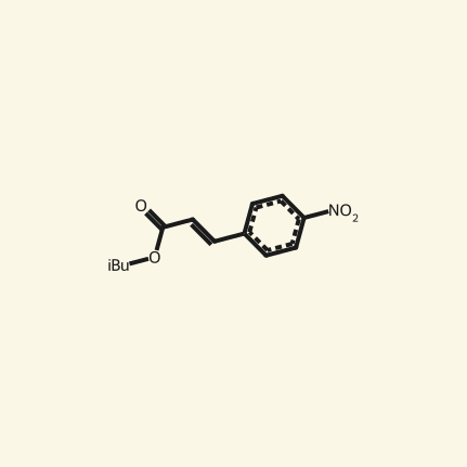 CCC(C)OC(=O)C=Cc1ccc([N+](=O)[O-])cc1